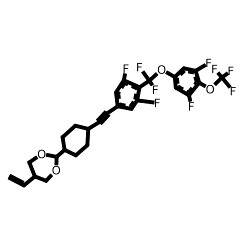 C=CC1COC(C2CCC(C#Cc3cc(F)c(C(F)(F)Oc4cc(F)c(OC(F)(F)F)c(F)c4)c(F)c3)CC2)OC1